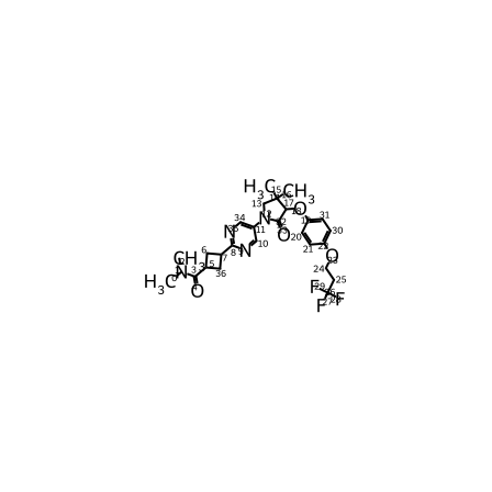 CN(C)C(=O)C1CC(c2ncc(N3CC(C)(C)C(Oc4ccc(OCCC(F)(F)F)cc4)C3=O)cn2)C1